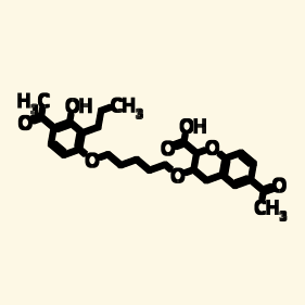 CCCc1c(OCCCCCOC2Cc3cc(C(C)=O)ccc3OC2C(=O)O)ccc(C(C)=O)c1O